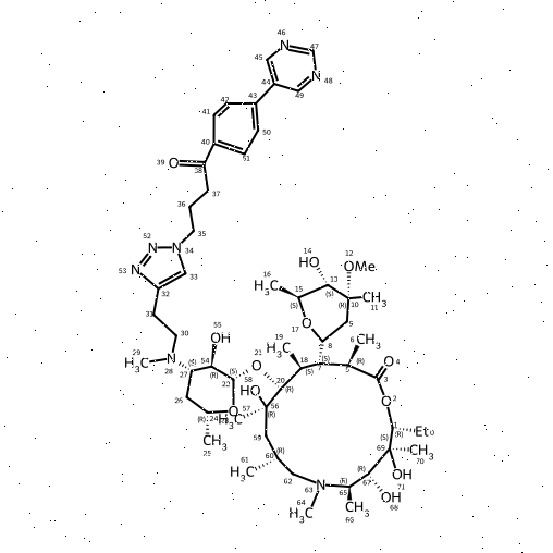 CC[C@H]1OC(=O)[C@H](C)[C@@H](C2C[C@@](C)(OC)[C@@H](O)[C@H](C)O2)[C@H](C)[C@@H](O[C@@H]2O[C@H](C)C[C@H](N(C)CCc3cn(CCCC(=O)c4ccc(-c5cncnc5)cc4)nn3)[C@H]2O)[C@](C)(O)C[C@@H](C)CN(C)[C@H](C)[C@@H](O)[C@]1(C)O